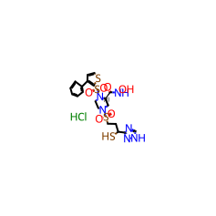 Cl.O=C(NO)[C@H]1CN(S(=O)(=O)CCC(S)c2nc[nH]n2)CCN1S(=O)(=O)c1sccc1-c1ccccc1